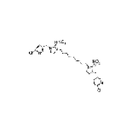 O=[N+]([O-])/N=C1\N(CCCCCCCCCN2CCN(Cc3ccc(Cl)nc3)/C2=N/[N+](=O)[O-])CCN1Cc1ccc(Cl)nc1